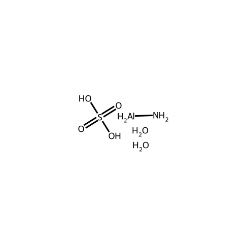 O.O.O=S(=O)(O)O.[NH2][AlH2]